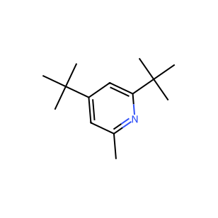 Cc1cc(C(C)(C)C)cc(C(C)(C)C)n1